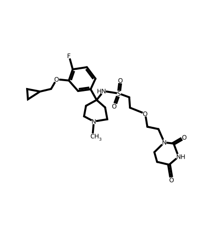 CN1CCC(NS(=O)(=O)CCOCCN2CCC(=O)NC2=O)(c2ccc(F)c(OCC3CC3)c2)CC1